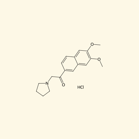 COc1cc2ccc(C(=O)CN3CCCC3)cc2cc1OC.Cl